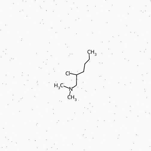 CCCCC(Cl)CN(C)C